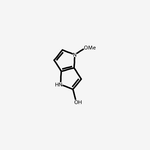 COn1ccc2[nH]c(O)cc21